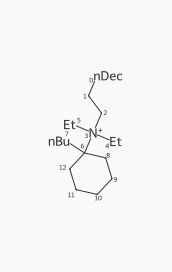 CCCCCCCCCCCC[N+](CC)(CC)C1(CCCC)CCCCC1